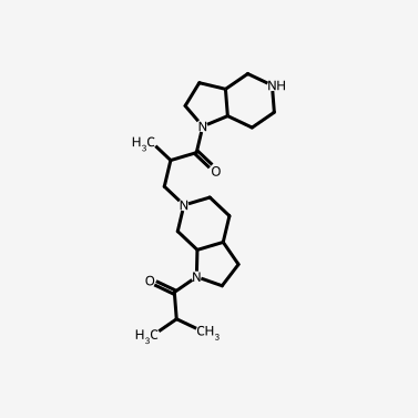 CC(C)C(=O)N1CCC2CCN(CC(C)C(=O)N3CCC4CNCCC43)CC21